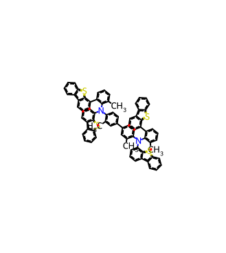 Cc1cc(-c2ccc(N(c3c(C)cccc3-c3cccc4c3sc3ccccc34)c3cccc4c3sc3ccccc34)c(C)c2)ccc1N(c1c(C)cccc1-c1cccc2c1sc1ccccc12)c1cccc2c1sc1ccccc12